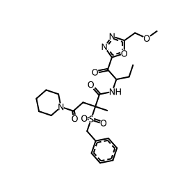 CCC(NC(=O)C(C)(CC(=O)N1CCCCC1)S(=O)(=O)Cc1ccccc1)C(=O)c1nnc(COC)o1